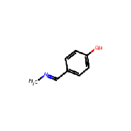 C/N=C/c1ccc(O)cc1